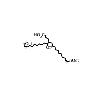 CCCCCCCC/C=C\CCCCCCCC(=O)CC(CCCC(=O)O)C(=O)CCCCCCC/C=C\CCCCCCCC